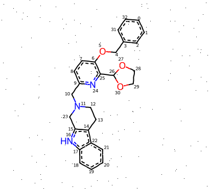 c1ccc(COc2ccc(CN3CCc4c([nH]c5ccccc45)C3)nc2C2OCCO2)cc1